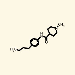 CCCCc1ccc(NC(=O)C2CCN(C)CC2)cc1